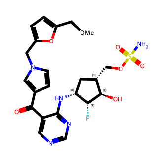 COCc1ccc(Cn2ccc(C(=O)c3cncnc3N[C@@H]3C[C@H](COS(N)(=O)=O)[C@@H](O)[C@@H]3F)c2)o1